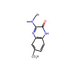 CC(C)N(C)c1nc2cc(C(=O)O)ccc2[nH]c1=O